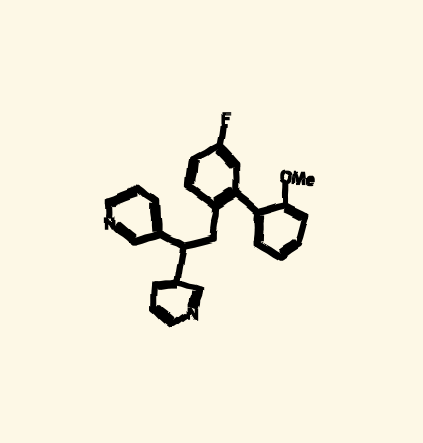 COc1ccccc1-c1cc(F)ccc1CC(c1cccnc1)c1cccnc1